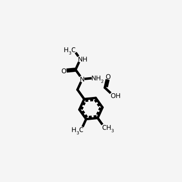 CNC(=O)N(N)Cc1ccc(C)c(C)c1.O=CO